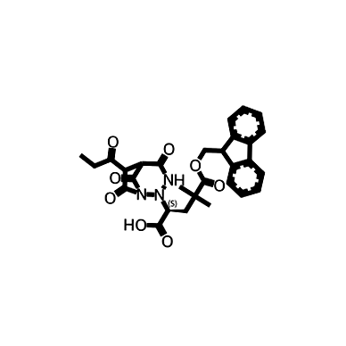 CCC(=O)C1C(=O)N2C(=O)C1C(=O)NN2[C@@H](CC(C)(C)C(=O)OCC1c2ccccc2-c2ccccc21)C(=O)O